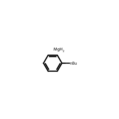 CCCCc1cc[c]cc1.[MgH2]